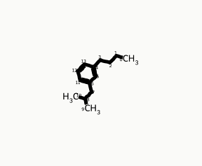 CCCCc1[c]c(CC(C)C)ccc1